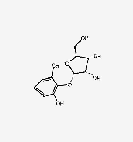 OC[C@@H]1O[C@@H](Oc2c(O)cccc2O)[C@@H](O)[C@H]1O